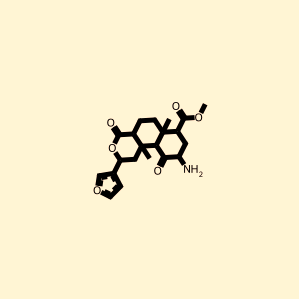 COC(=O)C1CC(N)C(=O)C2C1(C)CCC1C(=O)OC(c3ccoc3)CC12C